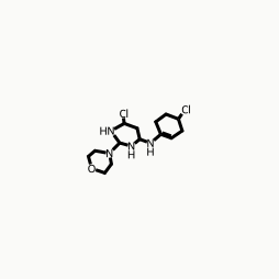 ClC1CC=C(NC2CC(Cl)NC(N3CCOCC3)N2)CC1